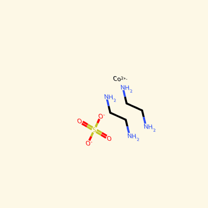 NCCN.NCCN.O=S(=O)([O-])[O-].[Co+2]